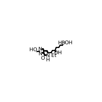 CCC(CC(O)CCCCBO)c1cc2cnc(CO)nc2c(=O)[nH]1